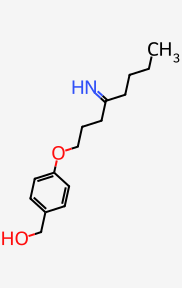 CCCCC(=N)CCCOc1ccc(CO)cc1